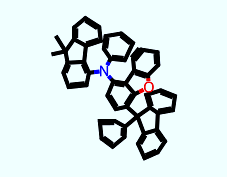 CC1(C)c2ccccc2-c2c(N(c3ccccc3)c3ccc(C4(c5ccccc5)c5ccccc5-c5ccccc54)c4oc5ccc#cc5c34)cccc21